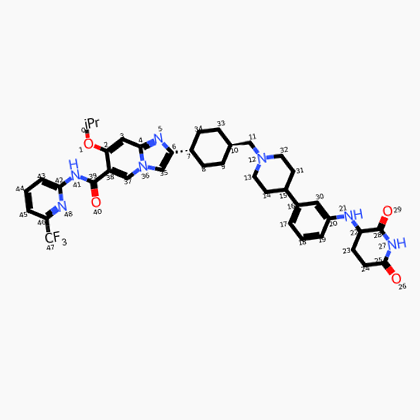 CC(C)Oc1cc2nc([C@H]3CC[C@H](CN4CCC(c5cccc(NC6CCC(=O)NC6=O)c5)CC4)CC3)cn2cc1C(=O)Nc1cccc(C(F)(F)F)n1